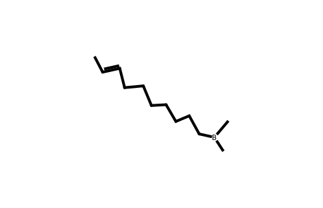 CC=CCCCCCCCB(C)C